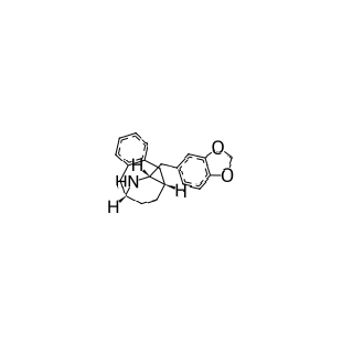 c1ccc2c(c1)C[C@H]1CC[C@@H](C2)[C@@H](Cc2ccc3c(c2)OCO3)N1